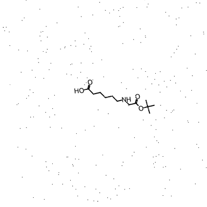 CC(C)(C)OC(=O)CNCCCCCC(=O)O